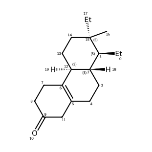 CC[C@H]1[C@@H]2CCC3=C(CCC(=O)C3)[C@H]2CC[C@]1(C)CC